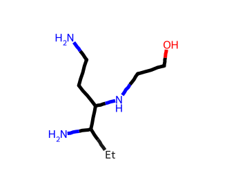 CCC(N)C(CCN)NCCO